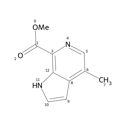 COC(=O)c1ncc(C)c2cc[nH]c12